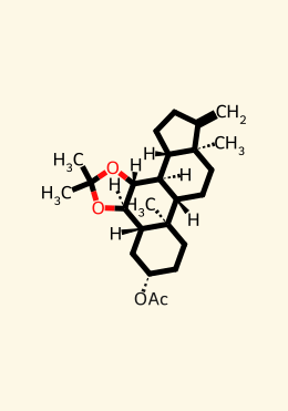 C=C1CC[C@H]2[C@@H]3[C@H]4OC(C)(C)O[C@@H]4[C@H]4C[C@@H](OC(C)=O)CC[C@]4(C)[C@H]3CC[C@]12C